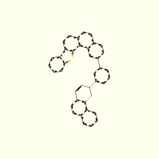 C1=CC(c2cccc(-c3ccc4ccc5ccc6c7ccccc7sc6c5c4c3)c2)Cc2c1ccc1ccccc21